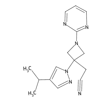 CC(C)c1cnn(C2(CC#N)CN(c3ncccn3)C2)c1